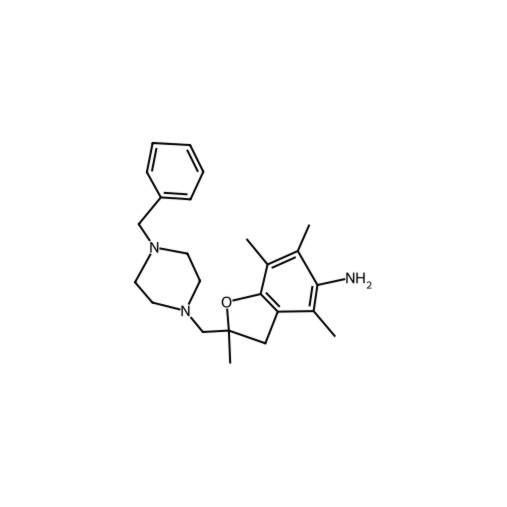 Cc1c(C)c2c(c(C)c1N)CC(C)(CN1CCN(Cc3ccccc3)CC1)O2